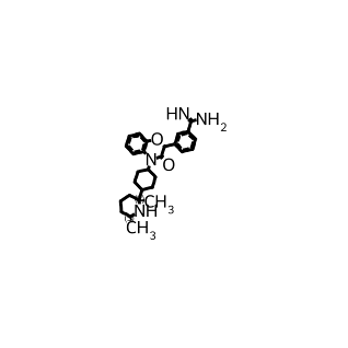 C[C@H]1CCC[C@](C)(C2CCC(N3C(=O)C(c4cccc(C(=N)N)c4)Oc4ccccc43)CC2)N1